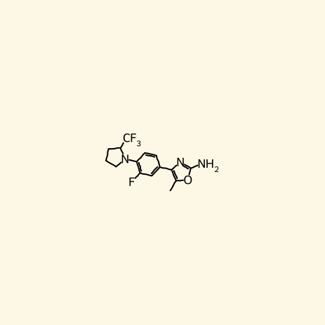 Cc1oc(N)nc1-c1ccc(N2CCCC2C(F)(F)F)c(F)c1